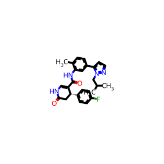 Cc1ccc(-c2ccnn2CC(C)C)cc1NC(=O)C1=CNC(=O)C[C@H]1c1ccc(F)cc1